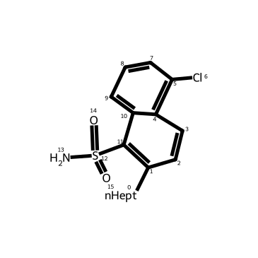 CCCCCCCc1ccc2c(Cl)cccc2c1S(N)(=O)=O